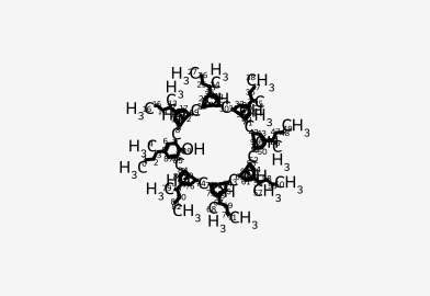 CCCC(C)C1=CC2CC3=CC(C(C)CCC)=CC(CC4=CC(C(C)CCC)=CC(CC5C=C(C(C)CCC)C=C(CC6C=C(C(C)CCC)C=C(CC7=CC(C(C)CCC)=CC(CC8C=C(C(C)CCC)C=C(CC9C=C(C(C)CCC)C=C(CC(=C1)C2O)C9O)C8O)C7O)C6O)C5O)C4O)C3O